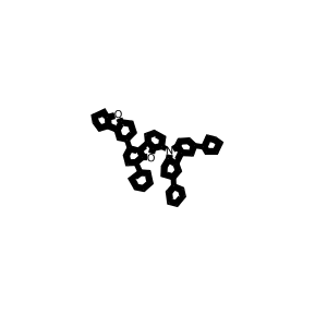 c1ccc(-c2ccc3c(c2)c2cc(-c4ccccc4)ccc2n3-c2cccc3c2oc2c(-c4ccccc4)ccc(-c4ccc5oc6ccccc6c5c4)c23)cc1